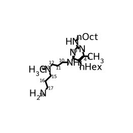 CCCCCCCCNc1nc(C)c(CCCCCC)c(NCCCN(C)CCCN)n1